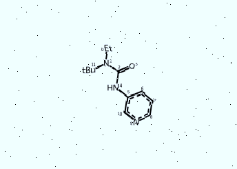 CCN(C(=O)Nc1cccnc1)C(C)(C)C